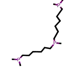 CP(C)CCCCCCP(C)CCCCCCP(C)C